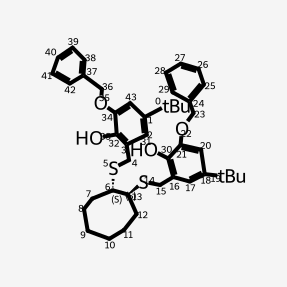 CC(C)(C)c1cc(CS[C@H]2CCCCCC[C@@H]2SCc2cc(C(C)(C)C)cc(OCc3ccccc3)c2O)c(O)c(OCc2ccccc2)c1